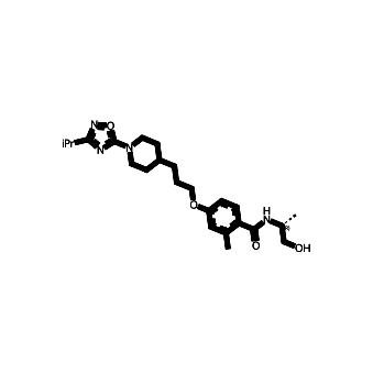 Cc1cc(OCCCC2CCN(c3nc(C(C)C)no3)CC2)ccc1C(=O)N[C@H](C)CO